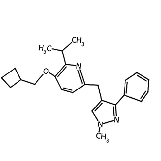 CC(C)c1nc(Cc2cn(C)nc2-c2ccccc2)ccc1OCC1CCC1